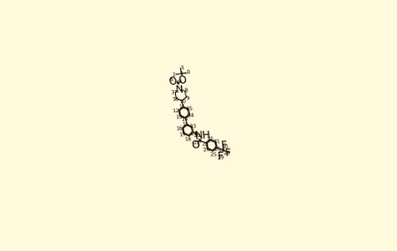 CC(C)(C)OC(=O)N1CCC(c2ccc(-c3cccc(NC(=O)c4ccc(C(F)(F)F)cc4)c3)cc2)CC1